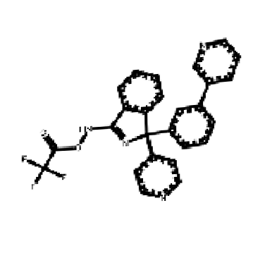 O=C(ONC1=NC(c2ccncc2)(c2cccc(-c3cccnc3)c2)c2ccccc21)C(F)(F)F